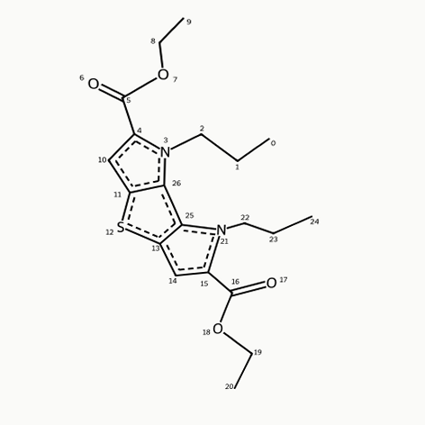 CCCn1c(C(=O)OCC)cc2sc3cc(C(=O)OCC)n(CCC)c3c21